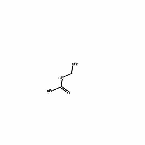 CCC[CH]NC(=O)CCC